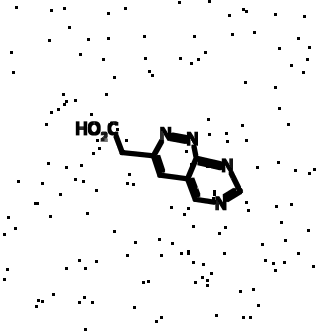 O=C(O)Cc1cc2cncnc2nn1